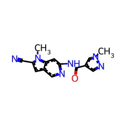 Cn1cc(C(=O)Nc2cc3c(cn2)cc(C#N)n3C)cn1